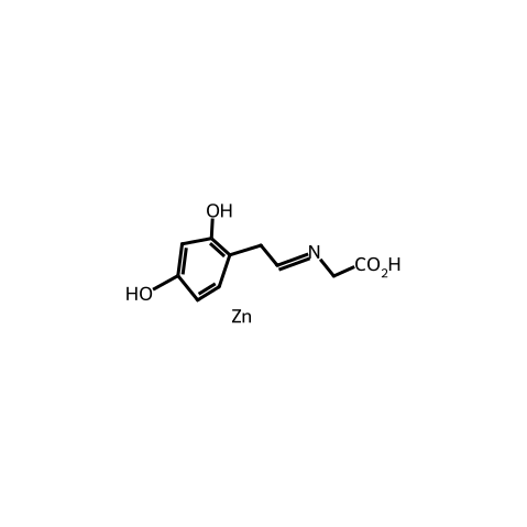 O=C(O)CN=CCc1ccc(O)cc1O.[Zn]